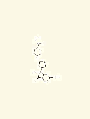 CCn1c(=O)c2cnc(SC)nc2n1-c1cccc(OC2CCN(C(=O)OC(C)(C)C)CC2)n1